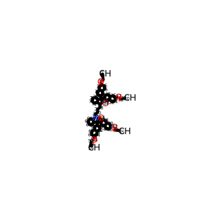 C#CCOc1ccc2cc(C3(c4ccc5cc(OCC#C)ccc5c4)C(=O)C(CCCCN4C(=O)C(c5ccc6cc(OCC#C)ccc6c5)(c5ccc6cc(OCC#C)ccc6c5)c5ccccc54)c4ccccc43)ccc2c1